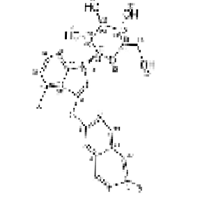 Cc1ccc2cc(Cc3cn([C@@H]4O[C@H](CO)[C@@H](O)[C@H](O)[C@H]4O)c4cccc(C)c34)ccc2c1